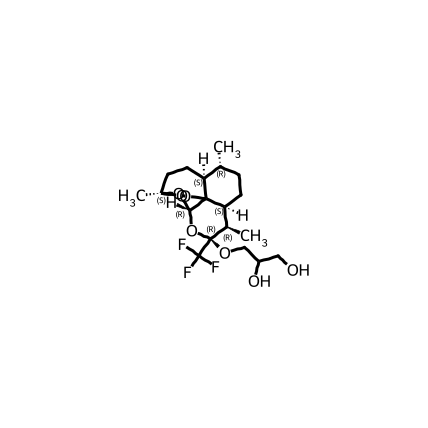 C[C@@H]1CC[C@H]2[C@@H](C)[C@](OCC(O)CO)(C(F)(F)F)O[C@@H]3O[C@]4(C)CC[C@@H]1C32OO4